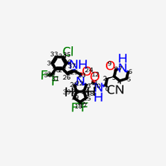 N#C[C@H](C[C@@H]1CCCNC1=O)NC(=O)[C@@H]1[C@H]2CC(F)(F)C[C@H]2CN1C(=O)c1cc2c(C(F)F)ccc(Cl)c2[nH]1